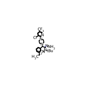 C=Cc1cccc(C(/C(=N/N)N(N)C(C)(C)C)N2CCN(c3ncc(C(F)(F)F)cc3Cl)CC2)c1